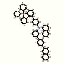 c1ccc(C2(c3ccccc3)c3ccccc3-c3c(-c4ccc(N(c5cccc(-c6ccc(-c7ccc8ccccc8c7)cc6)c5)c5cccc6ccccc56)cc4)cccc32)cc1